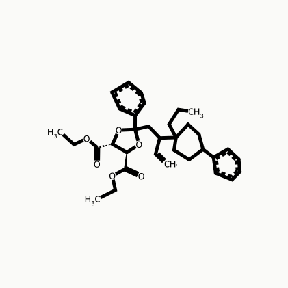 [CH]=CC(CC1(c2ccccc2)O[C@@H](C(=O)OCC)[C@H](C(=O)OCC)O1)C1(CCC)CCC(c2ccccc2)CC1